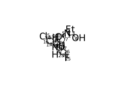 CCN(CCO)C[C@H]1CC[C@@H]2[C@H](O1)c1cc(Cl)ccc1N[C@H]2c1ccc(F)cc1